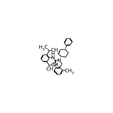 Cc1ccccc1CN(C(=O)Nc1c(C(C)C)cccc1C(C)C)[C@H]1CC[C@H](c2ccccc2)CC1